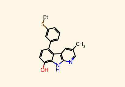 CCSc1cccc(-c2ccc(O)c3[nH]c4ncc(C)cc4c23)c1